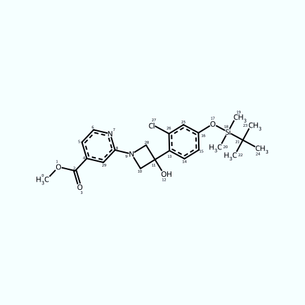 COC(=O)c1ccnc(N2CC(O)(c3ccc(O[Si](C)(C)C(C)(C)C)cc3Cl)C2)c1